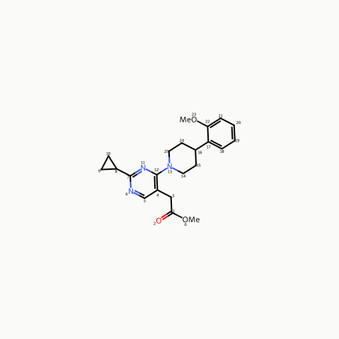 COC(=O)Cc1cnc(C2CC2)nc1N1CCC(c2ccccc2OC)CC1